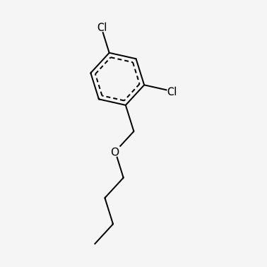 CCCCOCc1ccc(Cl)cc1Cl